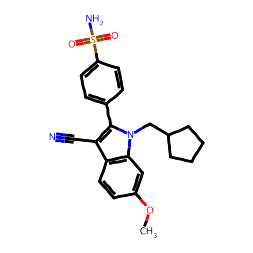 COc1ccc2c(C#N)c(-c3ccc(S(N)(=O)=O)cc3)n(CC3CCCC3)c2c1